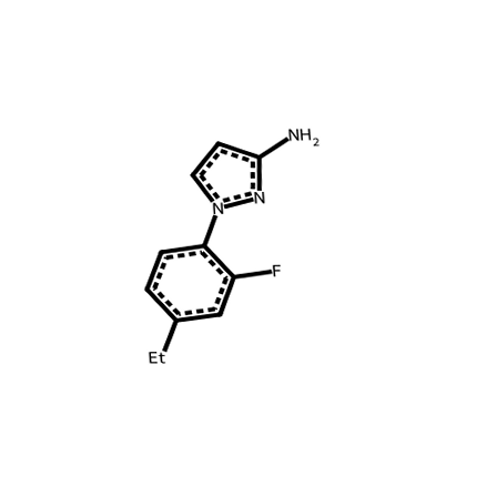 CCc1ccc(-n2ccc(N)n2)c(F)c1